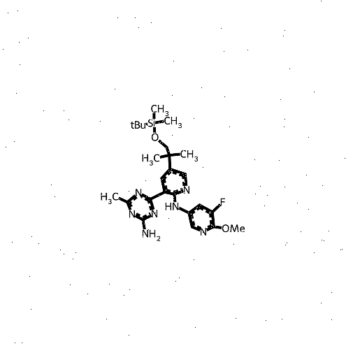 COc1ncc(Nc2ncc(C(C)(C)CO[Si](C)(C)C(C)(C)C)cc2-c2nc(C)nc(N)n2)cc1F